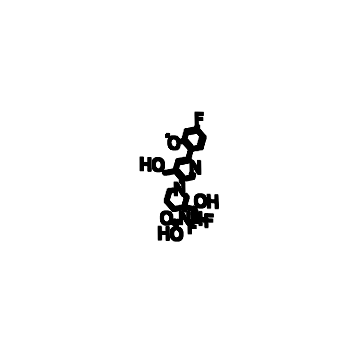 COc1cc(F)ccc1-c1cc(CO)c(N2CCCC(NC(=O)O)(C(O)C(F)F)C2)cn1